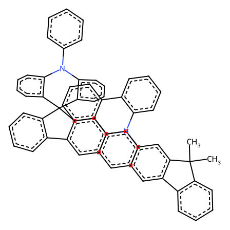 CC1(C)c2ccccc2-c2ccc(N(c3ccc4c(c3)C3(c5ccccc5-4)c4ccccc4N(c4ccccc4)c4ccccc43)c3ccccc3-c3ccccc3-c3ccccc3)cc21